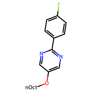 CCCCCCCCOc1cnc(-c2ccc(F)cc2)nc1